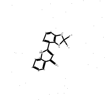 O=c1cc(-c2cccc3c2OC(F)(F)O3)[nH]c2ccccc12